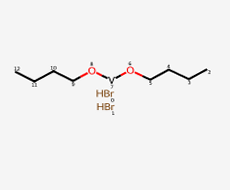 Br.Br.CCCC[O][V][O]CCCC